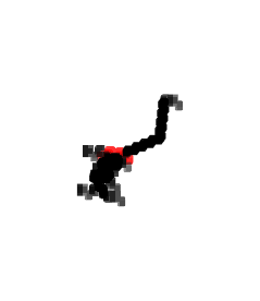 CCCCCCCC/C=C\CCCCCCCC(=O)OC1=CC[C@]2(C)[C@H]3CC[C@]4(C)[C@@H]([C@H](C)CCC)CC[C@H]4[C@@H]3CCC2(C(=O)OC)C1